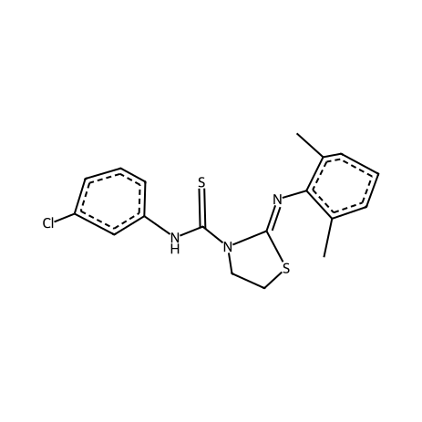 Cc1cccc(C)c1N=C1SCCN1C(=S)Nc1cccc(Cl)c1